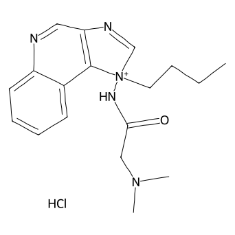 CCCC[N+]1(NC(=O)CN(C)C)C=Nc2cnc3ccccc3c21.Cl